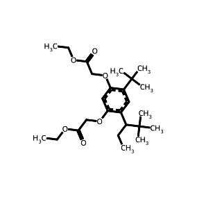 CCOC(=O)COc1cc(OCC(=O)OCC)c(C(C)(C)C)cc1C(CC)C(C)(C)C